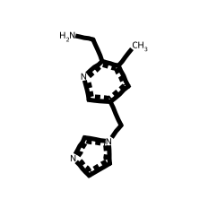 Cc1cc(Cn2ccnc2)cnc1CN